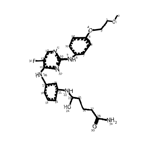 COCCOc1ccc(Nc2ncc(F)c(Nc3cccc(NC(O)CCCC(N)=O)c3)n2)cc1